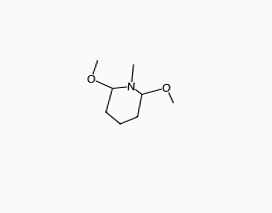 COC1CCCC(OC)N1C